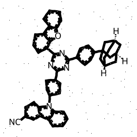 N#Cc1ccc2c(c1)c1ccccc1n2-c1ccc(-c2nc(-c3ccc(C45C[C@H]6C[C@H](C4)C[C@@H](C5)C6)cc3)nc(-c3cccc4c3oc3ccccc34)n2)cc1